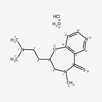 CN(C)CCC1CN(C)C(=S)c2cnccc2O1.Cl.O